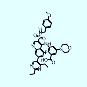 CCc1ncc(-c2cc(F)c3c(Nc4cc(C(=O)O)cc(N5CCOCC5)c4)c(S(=O)(=O)NCc4ccc(OC)cc4)cnc3c2)c(CC)n1